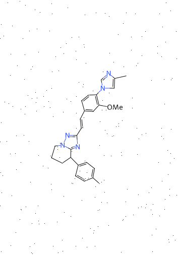 COc1cc(/C=C/c2nc3n(n2)CCCC3c2ccc(C)cc2)ccc1-n1cnc(C)c1